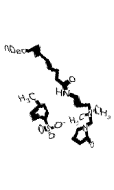 CCCCCCCCCCCCCCCCC(=O)NCCC[N+](C)(C)CN1CCCC1=O.Cc1ccc(S(=O)(=O)[O-])cc1